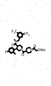 COCC(=O)N1CCC(C(=O)N2CCC(C(=O)N(C)Cc3cc(C(F)(F)F)cc(C(F)(F)F)c3)C(c3ccc(F)cc3C)C2)CC1